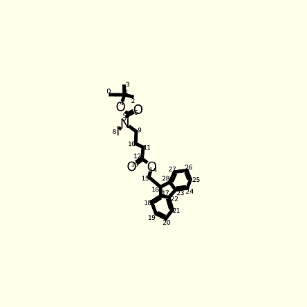 CC(C)(C)OC(=O)N(I)CCCC(=O)OCC1c2ccccc2-c2ccccc21